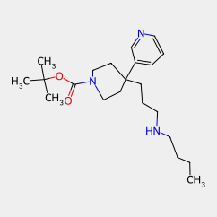 CCCCNCCCC1(c2cccnc2)CCN(C(=O)OC(C)(C)C)CC1